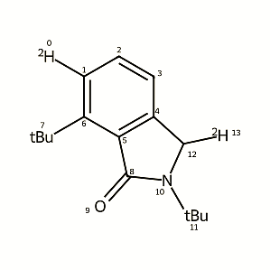 [2H]c1ccc2c(c1C(C)(C)C)C(=O)N(C(C)(C)C)C2[2H]